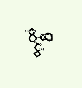 O=C(CC1(O)CCC1)N1CCc2[nH]cnc2[C@@H]1c1cc2ccccn2n1